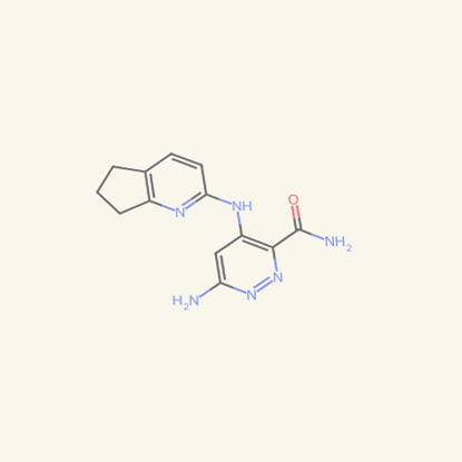 NC(=O)c1nnc(N)cc1Nc1ccc2c(n1)CCC2